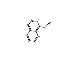 CC(C)Oc1n[c]nc2ccccc12